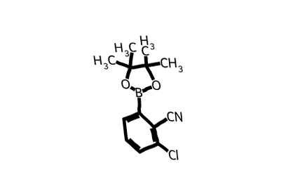 CC1(C)OB(c2cccc(Cl)c2C#N)OC1(C)C